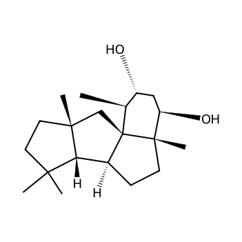 C[C@H]1[C@H](O)C[C@@H](O)[C@]2(C)CC[C@H]3[C@@H]4C(C)(C)CC[C@]4(C)C[C@]132